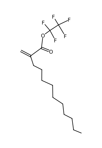 C=C(CCCCCCCCCC)C(=O)OC(F)(F)C(F)(F)F